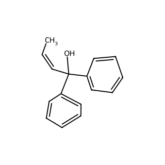 C/C=C\C(O)(c1ccccc1)c1ccccc1